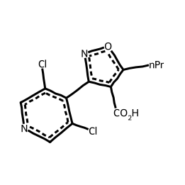 CCCc1onc(-c2c(Cl)cncc2Cl)c1C(=O)O